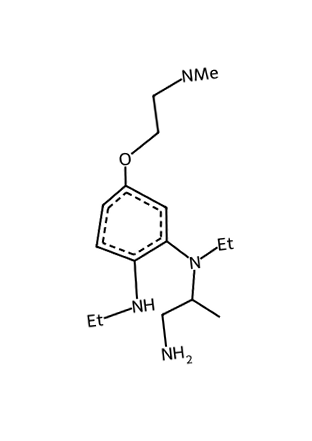 CCNc1ccc(OCCNC)cc1N(CC)C(C)CN